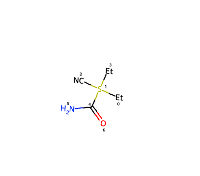 CCS(C#N)(CC)C(N)=O